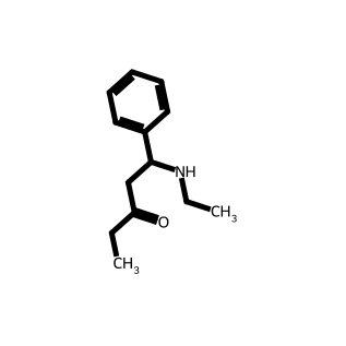 CCNC(CC(=O)CC)c1ccccc1